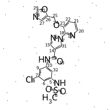 CS(=O)(=O)Nc1cc(Cl)cc(NC(=O)c2cnn(-c3ncccc3OCc3cnco3)c2)c1